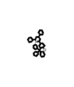 c1ccc(-c2cc(-c3ccccc3)nc(-c3ccc4c(c3)C(c3ccccc3)(c3ccccc3)c3ccccc3O4)c2)cc1